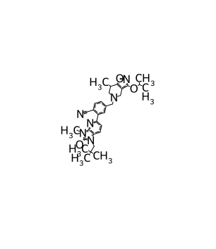 CC(C)Oc1noc2c1CN(Cc1ccc(C#N)c(-c3ccc4c(n3)n(C)c(=O)n4CC(C)(C)C)c1)CC2C